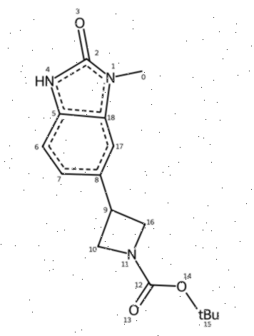 Cn1c(=O)[nH]c2ccc(C3CN(C(=O)OC(C)(C)C)C3)cc21